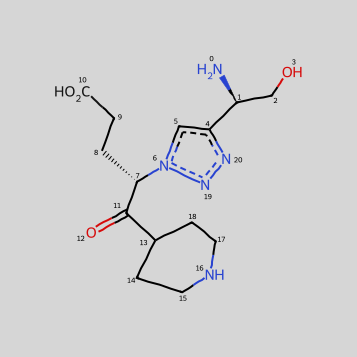 N[C@@H](CO)c1cn([C@@H](CCC(=O)O)C(=O)C2CCNCC2)nn1